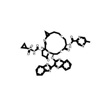 Cc1cnc(C(=O)N[C@H]2CCCCC3=C(C3)/N=C\[C@H]3[C@@H](C(=O)NS(=O)(=O)C4CC4)CC(=O)N3[C@H](Oc3nc4ccccc4nc3-c3nc4ccccc4s3)CCC2=O)cn1